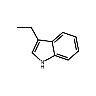 C[CH]c1c[nH]c2ccccc12